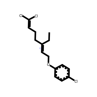 CC/C(=C\COc1ccc(Cl)cc1)CCC=C(Cl)Cl